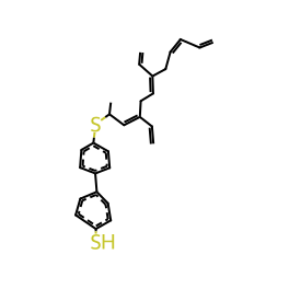 C=C/C=C\C/C(C=C)=C/C/C(C=C)=C\C(C)Sc1ccc(-c2ccc(S)cc2)cc1